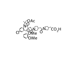 COc1cccc([C@H]2O[C@H](CC(=O)N3CCC(CC(=O)N4CCC(CC(=O)O)CC4)CC3)C(=O)N(CC(C)(C)COC(C)=O)c3ccc(Cl)cc32)c1OC